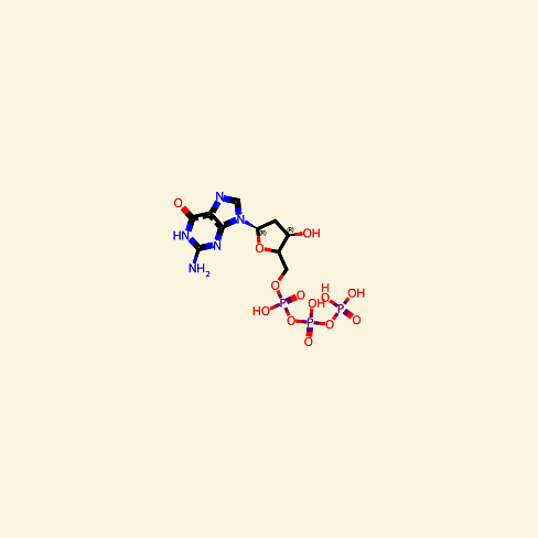 Nc1nc2c(ncn2[C@H]2C[C@@H](O)C(COP(=O)(O)OP(=O)(O)OP(=O)(O)O)O2)c(=O)[nH]1